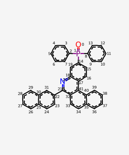 O=P(c1ccccc1)(c1ccccc1)c1ccc2c(c1)nc(-c1ccc3ccccc3c1)c1ccc3ccccc3c12